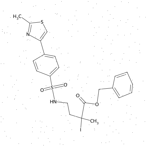 Cc1nc(-c2ccc(S(=O)(=O)NCCC(C)(I)C(=O)OCc3ccccc3)cc2)cs1